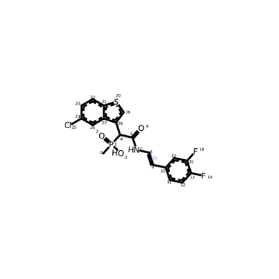 CP(=O)(O)C(C(=O)N/C=C/c1ccc(F)c(F)c1)c1csc2ccc(Cl)cc12